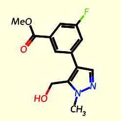 COC(=O)c1cc(F)cc(-c2cnn(C)c2CO)c1